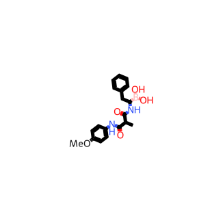 COc1ccc(NC(=O)C(C)C(=O)NC(Cc2ccccc2)B(O)O)cc1